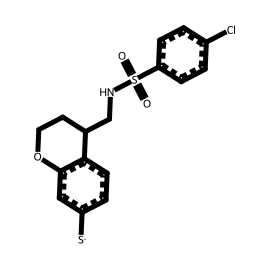 O=S(=O)(NCC1CCOc2cc([S])ccc21)c1ccc(Cl)cc1